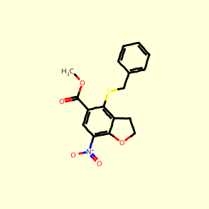 COC(=O)c1cc([N+](=O)[O-])c2c(c1SCc1ccccc1)CCO2